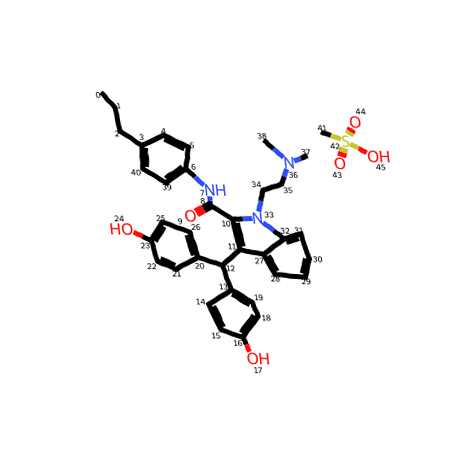 CCCc1ccc(NC(=O)c2c(C(c3ccc(O)cc3)c3ccc(O)cc3)c3ccccc3n2CCN(C)C)cc1.CS(=O)(=O)O